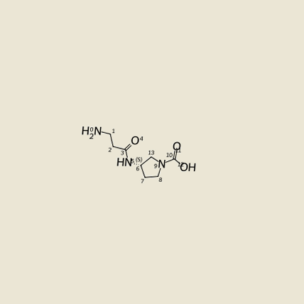 NCCC(=O)N[C@H]1CCN(C(=O)O)C1